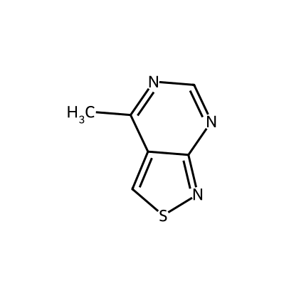 Cc1ncnc2nscc12